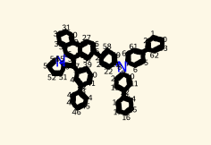 c1ccc(-c2ccc(N(c3ccc(-c4ccccc4)cc3)c3ccc(-c4ccc5c6ccccc6c6c(c(-c7cccc(-c8ccccc8)c7)c7ccccn76)c5c4)cc3)cc2)cc1